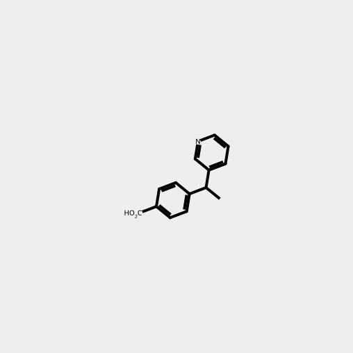 CC(c1ccc(C(=O)O)cc1)c1cccnc1